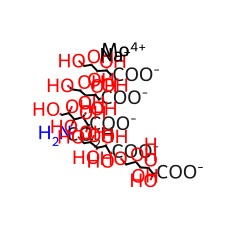 NC(=O)O.O=C([O-])C(O)C(O)C(O)C(O)CO.O=C([O-])C(O)C(O)C(O)C(O)CO.O=C([O-])C(O)C(O)C(O)C(O)CO.O=C([O-])C(O)C(O)C(O)C(O)CO.O=C([O-])C(O)C(O)C(O)C(O)CO.[Mo+4].[Na+]